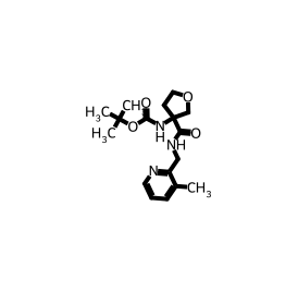 Cc1cccnc1CNC(=O)C1(NC(=O)OC(C)(C)C)CCOC1